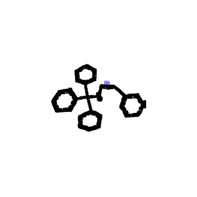 C(=C/c1cccnc1)/SC(c1ccccc1)(c1ccccc1)c1ccccc1